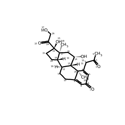 CC(=O)CC1=CC(=O)C=C2CC[C@@H]3[C@H]([C@@H](O)C[C@@]4(C)[C@H]3CC[C@]4(O)C(=O)CO)[C@]21C